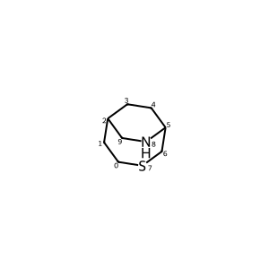 C1CC2CCC(CS1)NC2